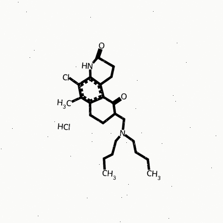 CCCCN(CCCC)CC1CCc2c(C)c(Cl)c3c(c2C1=O)CCC(=O)N3.Cl